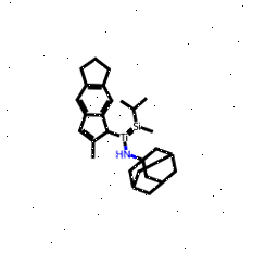 CC1=Cc2cc3c(cc2[CH]1[Ti]([NH]C12CC4CC(CC(C4)C1)C2)=[Si](C)C(C)C)CCC3